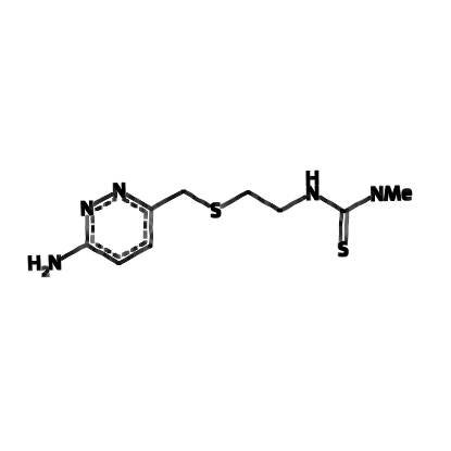 CNC(=S)NCCSCc1ccc(N)nn1